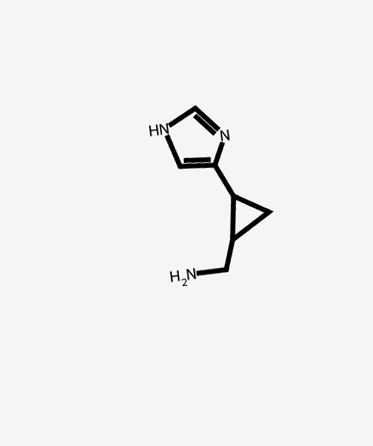 NCC1CC1c1c[nH]cn1